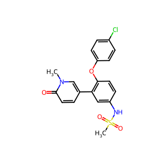 Cn1cc(-c2cc(NS(C)(=O)=O)ccc2Oc2ccc(Cl)cc2)ccc1=O